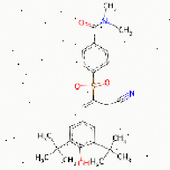 CN(C)C(=O)c1ccc(S(=O)(=O)C(=Cc2cc(C(C)(C)C)c(O)c(C(C)(C)C)c2)CC#N)cc1